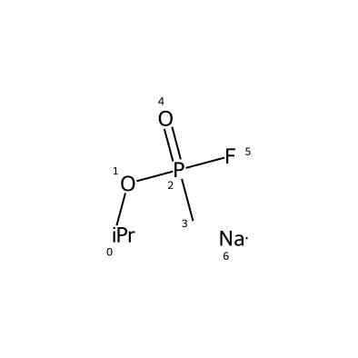 CC(C)OP(C)(=O)F.[Na]